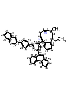 CC[C@@H]1CC(C)/C=C\C/C=C(/c2nc(-c3ccc(-c4cnc5ccccc5c4)cc3)nc(-c3cc4ccccc4c4ccccc34)n2)c2ccccc21